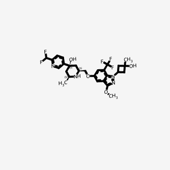 COc1nn(C2CC(C)(O)C2)c2c(C(F)(F)F)cc(OC[C@@H]3C[C@](O)(c4ccc(C(F)F)nc4)C[C@H](C)N3)cc12